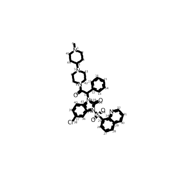 CN1CCC(N2CCN(C(=O)C(c3ccccc3)n3c(=O)n(S(=O)(=O)c4cccc5cccnc45)c4cc(Cl)ccc43)CC2)CC1